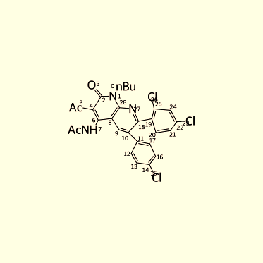 CCCCn1c(=O)c(C(C)=O)c(NC(C)=O)c2cc(-c3ccc(Cl)cc3)c(-c3ccc(Cl)cc3Cl)nc21